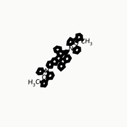 Cc1cccc2c1oc1c(N(c3ccccc3)c3ccc4cc5c(cc4c3)C3(c4ccccc4-c4ccccc43)c3c-5c4ccccc4c4cc(N(c5ccccc5)c5cccc6c5oc5c(C)cccc56)ccc34)cccc12